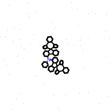 c1ccc(N(c2cccc3c2-c2ccccc2C32c3ccccc3-c3ccccc3-c3ccccc32)c2cccc3c2-c2ccccc2C32c3ccccc3-c3ccccc3-c3ccccc32)cc1